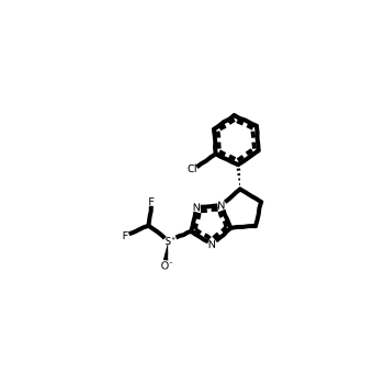 [O-][S@+](c1nc2n(n1)[C@H](c1ccccc1Cl)CC2)C(F)F